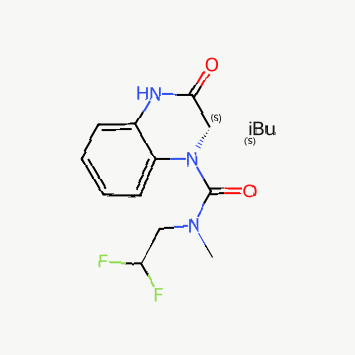 CC[C@H](C)[C@H]1C(=O)Nc2ccccc2N1C(=O)N(C)CC(F)F